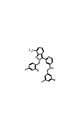 Fc1cc(F)cc(CNc2ccnc(-c3c4cccc(C(F)(F)F)c4nn3Cc3ccc(F)cc3F)c2)c1